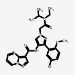 CCN(C(=O)Cn1cc(NC(=O)c2cnn3cccnc23)c(-c2cc(Cl)ccc2OC)n1)C(C)C